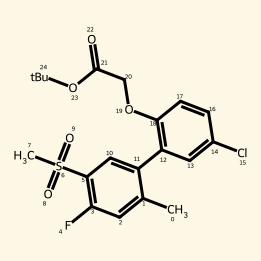 Cc1cc(F)c(S(C)(=O)=O)cc1-c1cc(Cl)ccc1OCC(=O)OC(C)(C)C